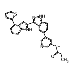 CCC(=O)Nc1cncc(-c2ccc3[nH]nc(-c4cc5c(-c6cccs6)cccc5[nH]4)c3c2)c1